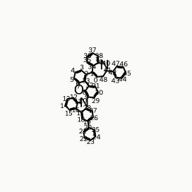 C1=C(c2cccc3oc4c(-n5c6ccccc6c6cc(-c7ccccc7)ccc65)cccc4c23)c2ccccc2N=C(c2ccccc2)C1